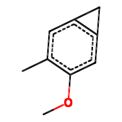 COc1cc2c(cc1C)C2